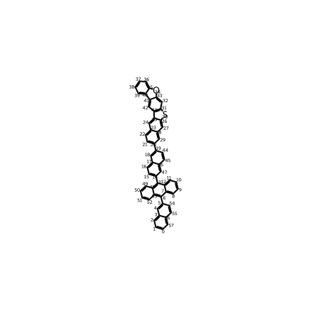 c1ccc2cc(-c3c4ccccc4c(-c4ccc5cc(-c6ccc7cc8c(cc7c6)sc6cc7oc9ccccc9c7cc68)ccc5c4)c4ccccc34)ccc2c1